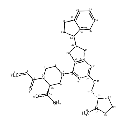 C=CC(=O)N1CCN(c2nc(OC[C@@H]3CCCN3C)nc3c2CN(C2CCc4ccccc42)C3)C[C@H]1C(N)=O